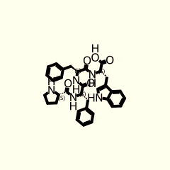 O=C(O)[C@H](Cc1c[nH]c2ccccc12)NC(=O)[C@H](Cc1ccccc1)NC(=O)[C@H](Cc1ccccc1)NC(=O)[C@@H]1CCCN1